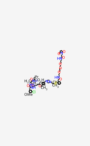 COc1ccc(C[C@@H](NC(=O)/C=C/CC[C@H](C)O[C@@H](C)c2ccc(CN3CCN(CCC(C)(C)SSc4ccccc4CC(=O)NCCCOCCOCCOCCCNC(=O)CCN4C(=O)C=CC4=O)CC3)cc2)C(=O)NCC(C)(C)C(=O)N[C@@H](CC(C)C)C(=O)O)cc1Cl